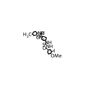 COc1ccc(C(=O)NC(=S)Nc2ccc(S(=O)(=O)Nc3ccc(C)cc3C)cc2)cc1I